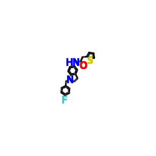 O=C(Cc1cccs1)Nc1ccc2c(c1)CCN2Cc1ccc(F)cc1